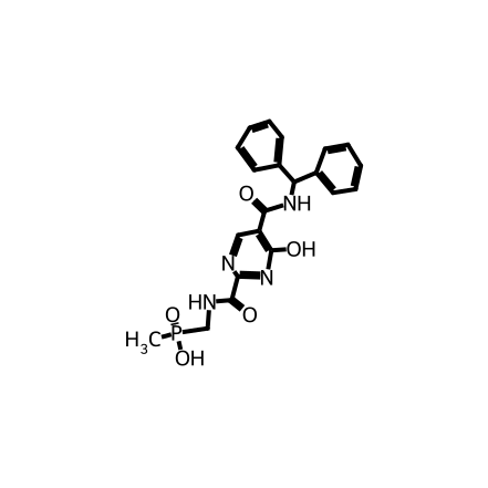 CP(=O)(O)CNC(=O)c1ncc(C(=O)NC(c2ccccc2)c2ccccc2)c(O)n1